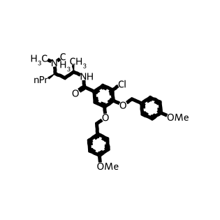 CCC[C@H](C[C@@H](C)NC(=O)c1cc(Cl)c(OCc2ccc(OC)cc2)c(OCc2ccc(OC)cc2)c1)N(C)C